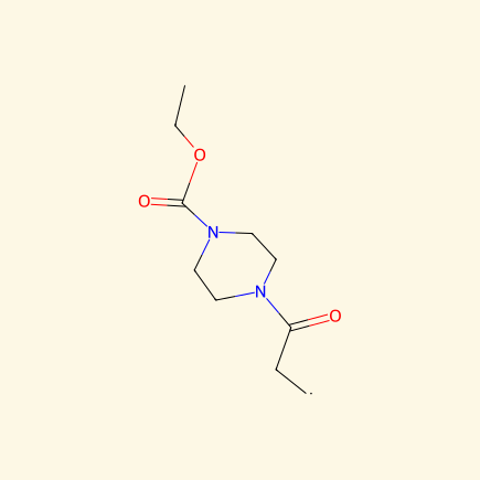 [CH2]CC(=O)N1CCN(C(=O)OCC)CC1